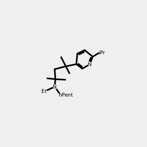 CCCCCN(CC)C(C)(C)CC(C)(C)c1ccc(C(C)C)nc1